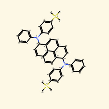 CS(C)(C)c1ccc(N(c2ccccc2)C2C=Cc3ccc4c5c(ccc2c35)C=CC4N(c2ccccc2)c2ccc(S(C)(C)C)cc2)cc1